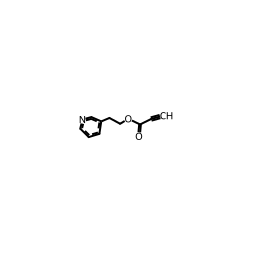 C#CC(=O)OCCc1cccnc1